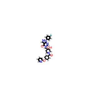 O=C(C1CCC(Oc2ccccn2)CC1)N1CCC(O)(Cn2cnc3c(cnn3-c3ccc(F)cc3)c2=O)CC1